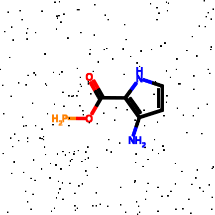 Nc1cc[nH]c1C(=O)OP